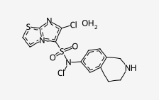 O.O=S(=O)(c1c(Cl)nc2sccn12)N(Cl)c1ccc2c(c1)CCNC2